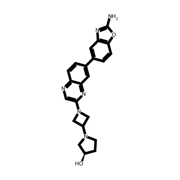 Nc1nc2cc(-c3ccc4ncc(N5CC(N6CC[C@@H](O)C6)C5)nc4c3)ccc2o1